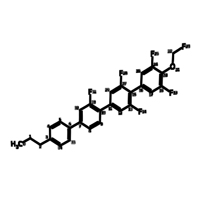 CCCc1ccc(-c2ccc(-c3cc(F)c(-c4cc(F)c(OCF)c(F)c4)c(F)c3)c(F)c2)cc1